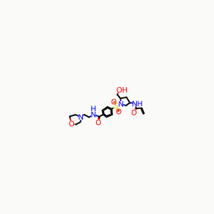 C=CC(=O)NC1CC(CO)N(S(=O)(=O)c2ccc(C(=O)NCCN3CCOCC3)cc2)C1